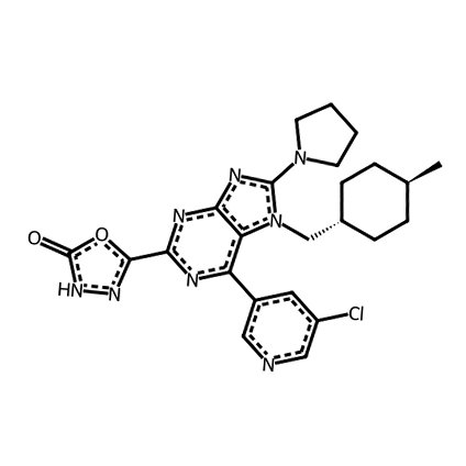 C[C@H]1CC[C@H](Cn2c(N3CCCC3)nc3nc(-c4n[nH]c(=O)o4)nc(-c4cncc(Cl)c4)c32)CC1